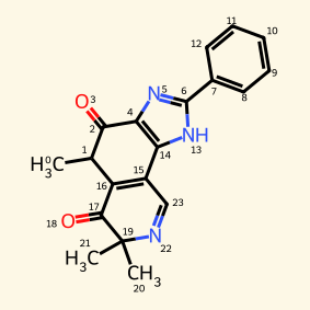 CC1C(=O)c2nc(-c3ccccc3)[nH]c2C2=C1C(=O)C(C)(C)N=C2